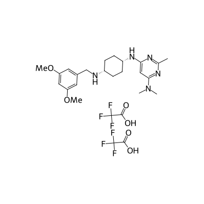 COc1cc(CN[C@H]2CC[C@@H](Nc3cc(N(C)C)nc(C)n3)CC2)cc(OC)c1.O=C(O)C(F)(F)F.O=C(O)C(F)(F)F